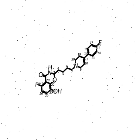 O=C1NC(CCCCN2CC=C(c3ccc(F)cc3)CC2)Oc2c(O)ccc(F)c21